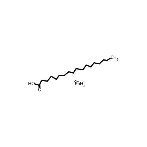 CCCCCCCCCCCCCCCCCC(=O)O.[KH].[PbH2]